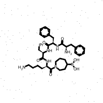 CC(C)C[C@@H](NC(=O)[C@@H](Cc1ccccc1)NC(=O)[C@H](N)Cc1ccccc1)C(=O)N[C@H](CCCCN)C(=O)N1CCCC(B(O)O)CC1